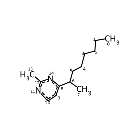 CCCCCCC(C)c1ccnc(C)n1